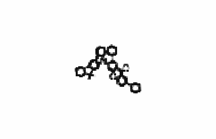 CC1(C)c2ccccc2-c2cc3c4ccccc4n(-c4cc5oc6ccc(-c7ccccc7)cc6c(=O)c5cc4-c4ccccc4)c3cc21